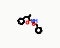 C=C(Cc1ccccc1)C(=O)NOCc1ccccc1